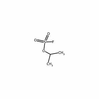 CC(C)OS(=O)(=O)F